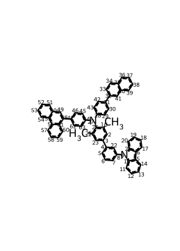 Cc1cc(-c2cccc(-n3c4ccccc4c4ccccc43)c2)cc(C)c1N(c1ccc(-c2ccc3ccccc3c2)cc1)c1ccc(-c2cc3ccccc3c3ccccc23)cc1